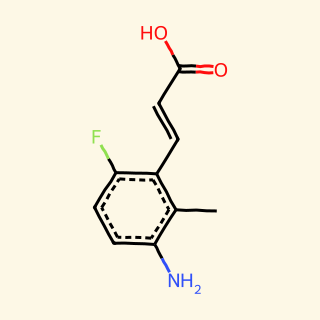 Cc1c(N)ccc(F)c1C=CC(=O)O